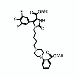 COC(=O)c1ccccc1N1CCN(CCCCCn2c(-c3cc(F)c(F)c(F)c3)c(C(=O)OC)[nH]c2=O)CC1